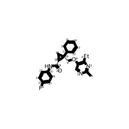 CCc1nc(C)ncc1OC[C@@]1(C2C=CC=CC2)C[C@H]1C(=O)Nc1ccc(F)cc1